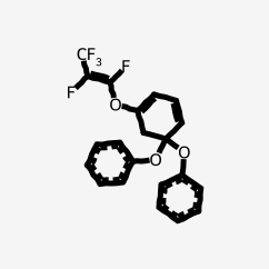 FC(OC1=CC=CC(Oc2ccccc2)(Oc2ccccc2)C1)=C(F)C(F)(F)F